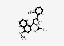 COc1ccc(C2CC(c3ccccc3O)=NN2C(C)=O)c2ccccc12